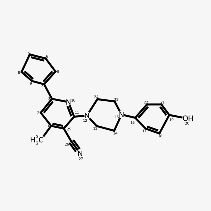 Cc1cc(-c2ccccc2)nc(N2CCN(c3ccc(O)cc3)CC2)c1C#N